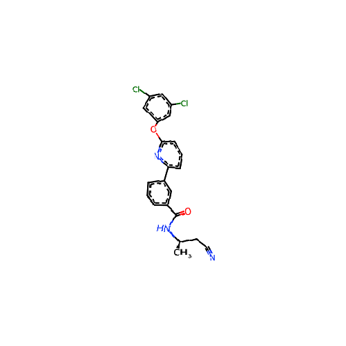 C[C@H](CC#N)NC(=O)c1cccc(-c2cccc(Oc3cc(Cl)cc(Cl)c3)n2)c1